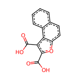 O=C(O)c1oc2ccc3ccccc3c2c1C(=O)O